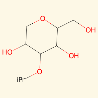 CC(C)OC1C(O)COC(CO)C1O